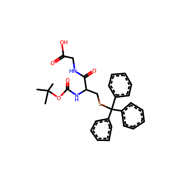 CC(C)(C)OC(=O)NC(CSC(c1ccccc1)(c1ccccc1)c1ccccc1)C(=O)NCC(=O)O